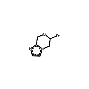 CCC1Cn2ccnc2CO1